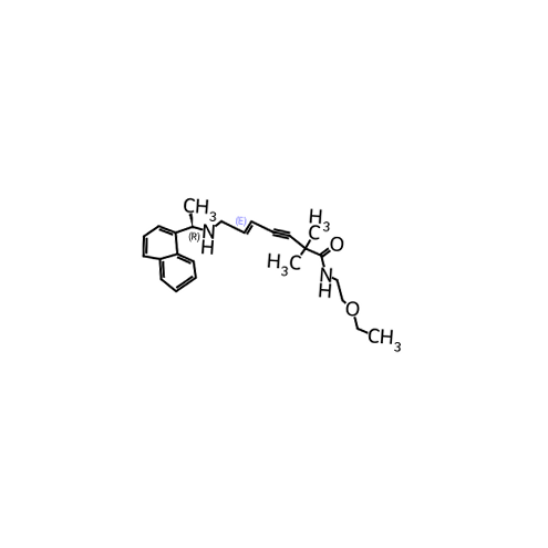 CCOCCNC(=O)C(C)(C)C#C/C=C/CN[C@H](C)c1cccc2ccccc12